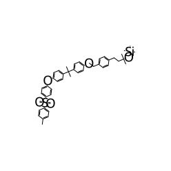 Cc1ccc(S(=O)(=O)c2ccc(Oc3ccc(C(C)(C)c4ccc(OCc5ccc(CCC(C)(C)O[Si](C)(C)C)cc5)cc4)cc3)cc2)cc1